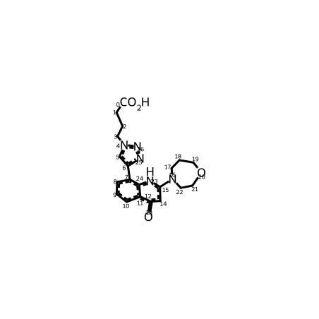 O=C(O)CCCn1cc(-c2cccc3c(=O)cc(N4CCCOCC4)[nH]c23)nn1